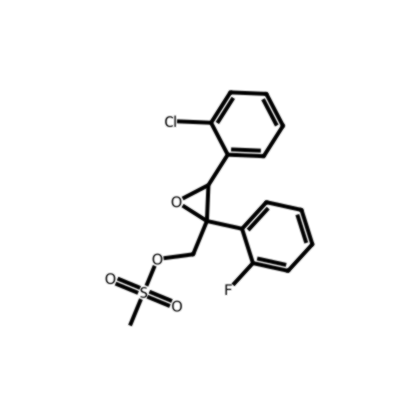 CS(=O)(=O)OCC1(c2ccccc2F)OC1c1ccccc1Cl